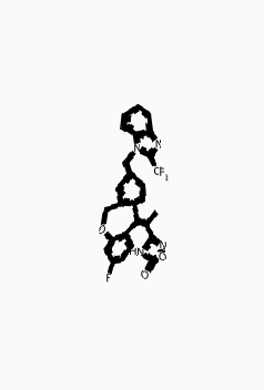 C/C(=C1\c2ccc(Cn3c(C(F)(F)F)nc4ccccc43)cc2COc2cc(F)ccc21)c1noc(=O)[nH]1